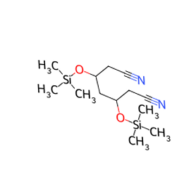 C[Si](C)(C)OC(CC#N)CC(CC#N)O[Si](C)(C)C